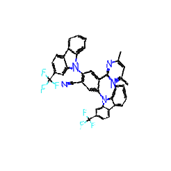 Cc1cc(C)nc(-c2cc(-n3c4ccccc4c4ccc(C(F)(F)F)cc43)c(C#N)cc2-n2c3ccccc3c3ccc(C(F)(F)F)cc32)n1